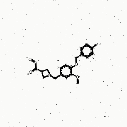 COc1cc(CN2CC(C(=O)N=O)C2)ccc1OCc1ccc(F)cc1